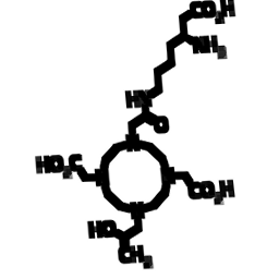 C=C(O)CN1CCN(CC(=O)O)CCN(CC(=O)NCCCC[C@H](N)CC(=O)O)CCN(CC(=O)O)CC1